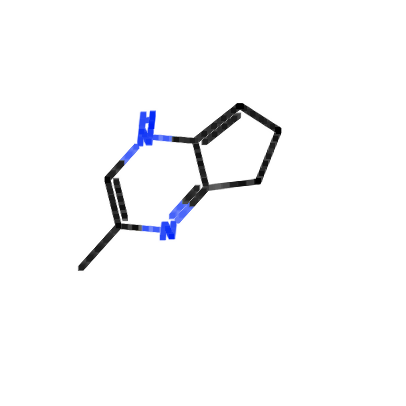 CC1=CNC2=CCCC2=N1